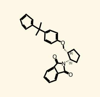 CC(C)(c1ccccc1)c1ccc(OC[C@@H]2CCC[C@@H]2N2C(=O)c3ccccc3C2=O)cc1